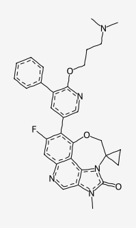 CN(C)CCCOc1ncc(-c2c(F)cc3ncc4c5c3c2OCC2(CC2)n5c(=O)n4C)cc1-c1ccccc1